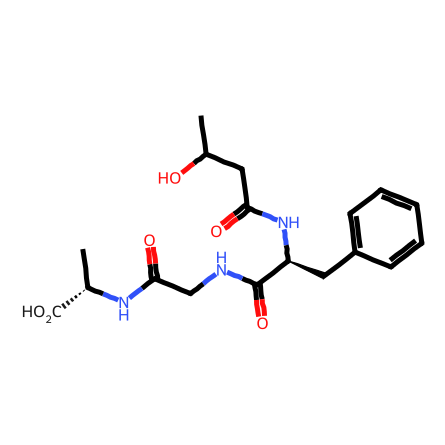 CC(O)CC(=O)N[C@@H](Cc1ccccc1)C(=O)NCC(=O)N[C@@H](C)C(=O)O